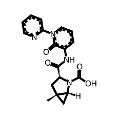 C[C@@]12C[C@@H](C(=O)Nc3cccn(-c4ccccn4)c3=O)N(C(=O)O)[C@@H]1C2